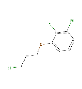 Fc1c(Br)cccc1SCCCCl